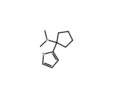 CP(C)C1(c2cccs2)CCCC1